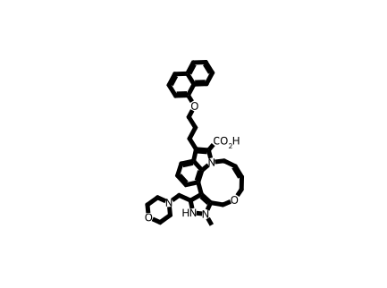 CN1NC(CN2CCOCC2)C2=C1COC/C=C\Cn1c(C(=O)O)c(CCCOc3cccc4ccccc34)c3cccc2c31